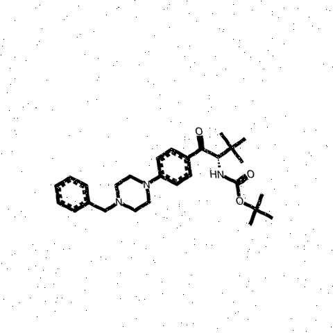 CC(C)(C)OC(=O)N[C@H](C(=O)c1ccc(N2CCN(Cc3ccccc3)CC2)cc1)C(C)(C)C